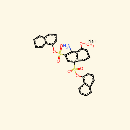 Nc1c(S(=O)(=O)Oc2cccc3ccccc23)cc(S(=O)(=O)Oc2cccc3ccccc23)c2cccc(O)c12.O.[NaH]